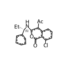 CC[C@H](Nc1oc(=O)c2c(Cl)cccc2c1C(C)=O)c1ccccc1